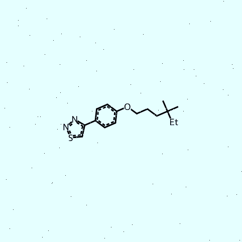 CCC(C)(C)CCCOc1ccc(-c2csnn2)cc1